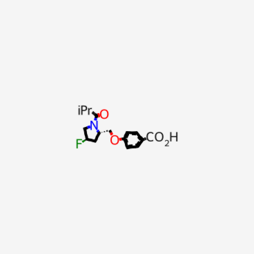 CC(C)C(=O)N1C[C@H](F)C[C@H]1COc1ccc(C(=O)O)cc1